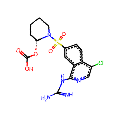 N=C(N)Nc1ncc(Cl)c2ccc(S(=O)(=O)N3CCCC[C@H]3OC(=O)O)cc12